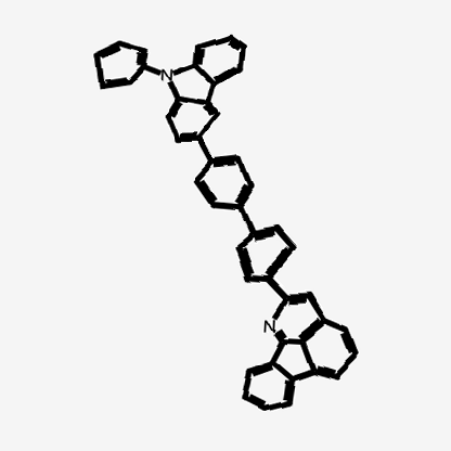 c1ccc(-n2c3ccccc3c3cc(-c4ccc(-c5ccc(-c6cc7cccc8c7c(n6)-c6ccccc6-8)cc5)cc4)ccc32)cc1